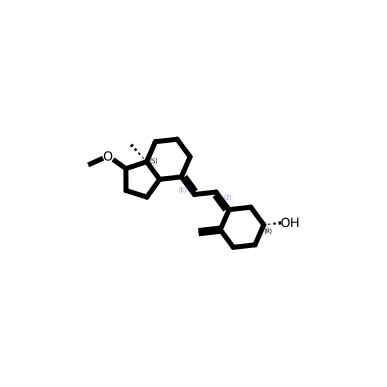 C=C1CC[C@@H](O)C/C1=C/C=C1\CCC[C@]2(C)C(OC)CCC12